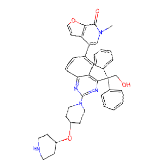 Cn1cc(-c2ccc3nc(N4CCC(OC5CCNCC5)CC4)nc(C(CO)(c4ccccc4)c4ccccc4)c3c2)c2ccoc2c1=O